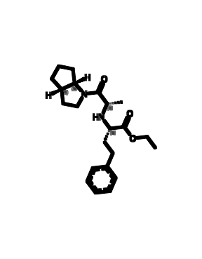 CCOC(=O)[C@H](CCc1ccccc1)N[C@@H](C)C(=O)N1CC[C@@H]2CCC[C@@H]21